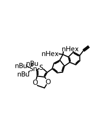 C#Cc1ccc2c(c1)C(CCCCCC)(CCCCCC)c1cc(-c3s[c]([Sn]([CH2]CCC)([CH2]CCC)[CH2]CCC)c4c3OCCO4)ccc1-2